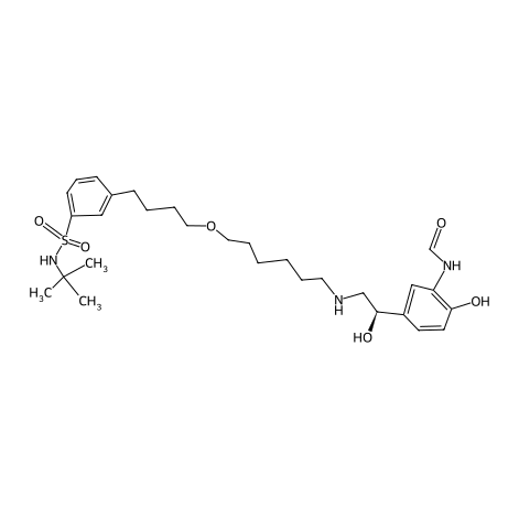 CC(C)(C)NS(=O)(=O)c1cccc(CCCCOCCCCCCNC[C@H](O)c2ccc(O)c(NC=O)c2)c1